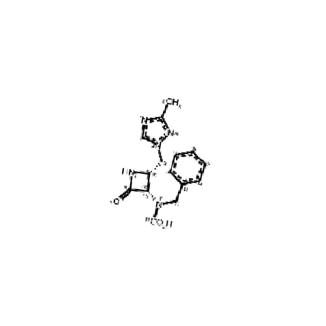 Cc1ncn(C[C@H]2NC(=O)[C@H]2N(Cc2ccccc2)C(=O)O)n1